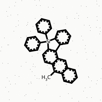 Cc1c2ccccc2cc2c3c(ccc12)[Si](c1ccccc1)(c1ccccc1)c1ccccc1-3